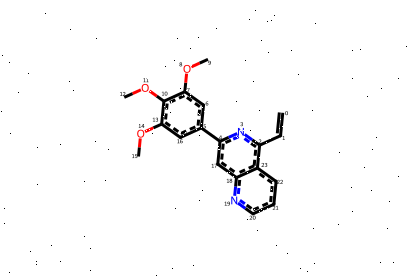 C=Cc1nc(-c2cc(OC)c(OC)c(OC)c2)cc2ncccc12